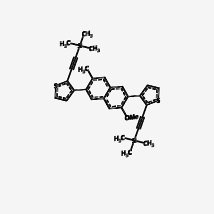 COc1cc2cc(-c3ccsc3C#C[Si](C)(C)C)c(C)cc2cc1-c1ccsc1C#C[Si](C)(C)C